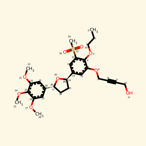 CCCOc1c(OCC#CCO)cc([C@H]2CC[C@H](c3cc(OC)c(OC)c(OC)c3)O2)cc1S(C)(=O)=O